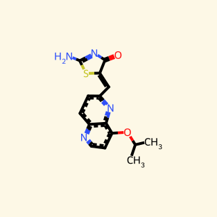 CC(C)Oc1ccnc2ccc(/C=C3\SC(N)=NC3=O)nc12